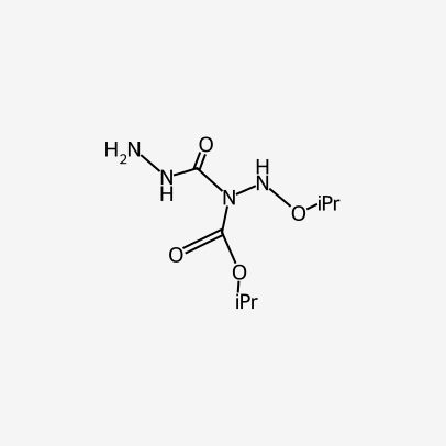 CC(C)ONN(C(=O)NN)C(=O)OC(C)C